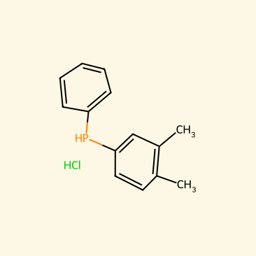 Cc1ccc(Pc2ccccc2)cc1C.Cl